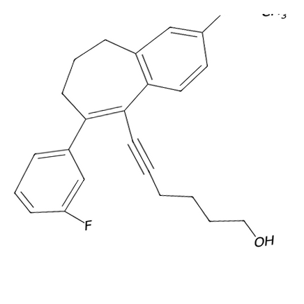 COc1ccc2c(c1)CCCC(c1cccc(F)c1)=C2C#CCCCCO